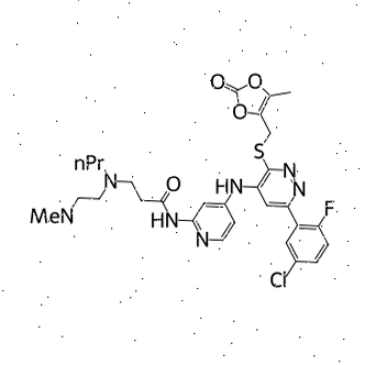 CCCN(CCNC)CCC(=O)Nc1cc(Nc2cc(-c3cc(Cl)ccc3F)nnc2SCc2oc(=O)oc2C)ccn1